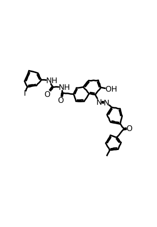 Cc1ccc(C(=O)c2ccc(N=Nc3c(O)ccc4cc(C(=O)NC(=O)Nc5cccc(I)c5)ccc34)cc2)cc1